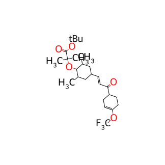 CC1CC(/C=C/C(=O)C2CC=C(OC(F)(F)F)CC2)CC(C)C1OC(C)(C)C(=O)OC(C)(C)C